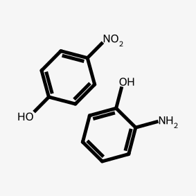 Nc1ccccc1O.O=[N+]([O-])c1ccc(O)cc1